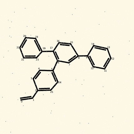 C=Cc1ccc(-c2cc(-c3ccccc3)ccc2-c2ccccc2)cc1